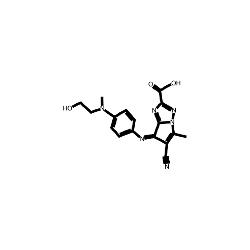 CC1=C(C#N)C(=Nc2ccc(N(C)CCO)cc2)c2nc(C(=O)O)nn21